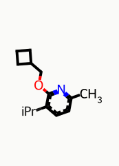 Cc1ccc(C(C)C)c(OCC2CCC2)n1